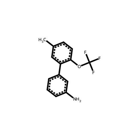 Cc1ccc(OC(F)(F)F)c(-c2cccc(N)c2)c1